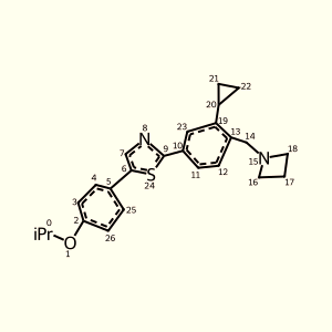 CC(C)Oc1ccc(-c2cnc(-c3ccc(CN4CCC4)c(C4CC4)c3)s2)cc1